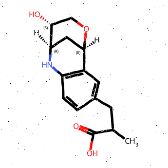 CC(Cc1ccc2c(c1)[C@H]1C[C@@H](N2)[C@H](O)CO1)C(=O)O